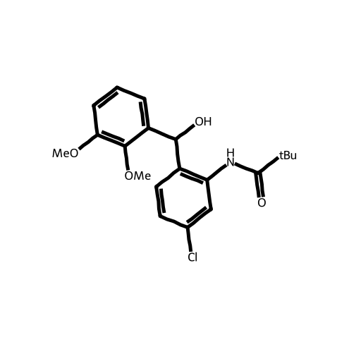 COc1cccc(C(O)c2ccc(Cl)cc2NC(=O)C(C)(C)C)c1OC